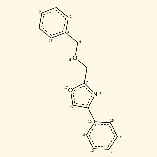 c1ccc(COCc2nc(-c3ccccc3)co2)cc1